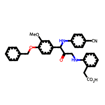 COc1cc(C(Nc2ccc(C#N)cc2)C(=O)CNc2ccccc2CC(=O)O)ccc1OCc1ccccc1